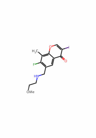 COCCNCc1cc2c(=O)c(I)coc2c(C)c1F